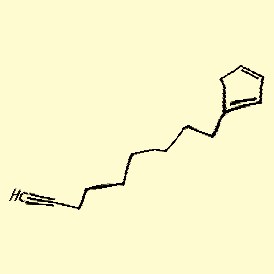 C#CCCCCCCCC1=CC=CC1